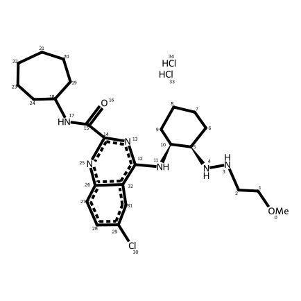 COCCNN[C@@H]1CCCC[C@@H]1Nc1nc(C(=O)NC2CCCCCC2)nc2ccc(Cl)cc12.Cl.Cl